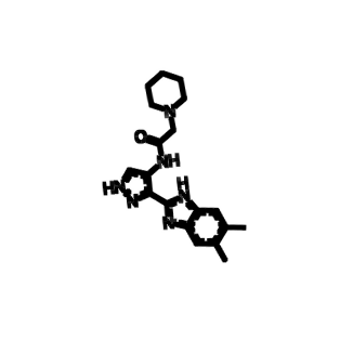 Cc1cc2nc(-c3n[nH]cc3NC(=O)CN3CCCCC3)[nH]c2cc1C